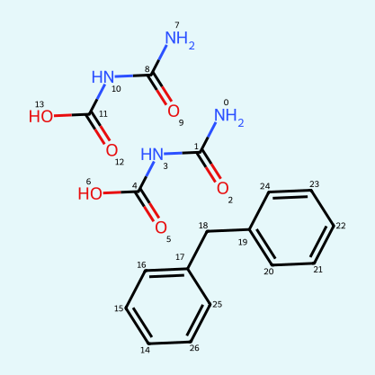 NC(=O)NC(=O)O.NC(=O)NC(=O)O.c1ccc(Cc2ccccc2)cc1